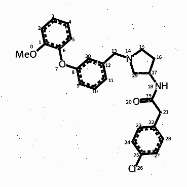 COc1ccccc1Oc1cccc(CN2CCC(NC(=O)Cc3ccc(Cl)cc3)C2)c1